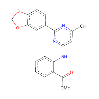 COC(=O)c1ccccc1Nc1cc(C)nc(-c2ccc3c(c2)OCO3)n1